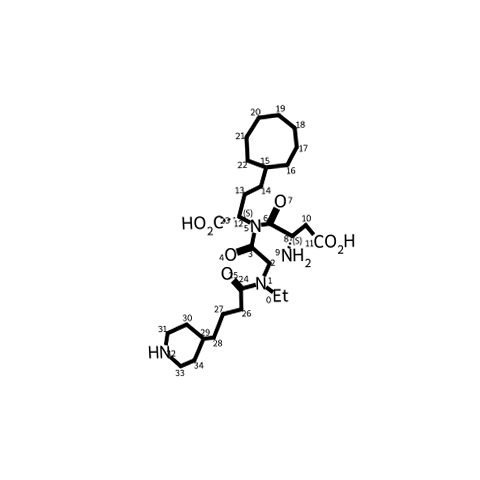 CCN(CC(=O)N(C(=O)[C@@H](N)CC(=O)O)[C@@H](CCC1CCCCCCC1)C(=O)O)C(=O)CCCC1CCNCC1